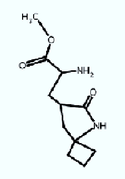 COC(=O)C(N)CC1CC2(CCC2)NC1=O